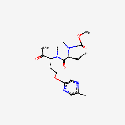 COC(=O)[C@@H](CCOc1cnc(C)cn1)N(C)C(=O)[C@H](CC(C)C)N(C)C(=O)OC(C)(C)C